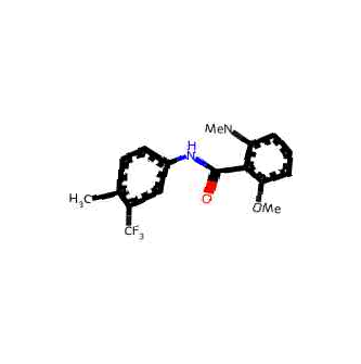 CNc1cccc(OC)c1C(=O)Nc1ccc(C)c(C(F)(F)F)c1